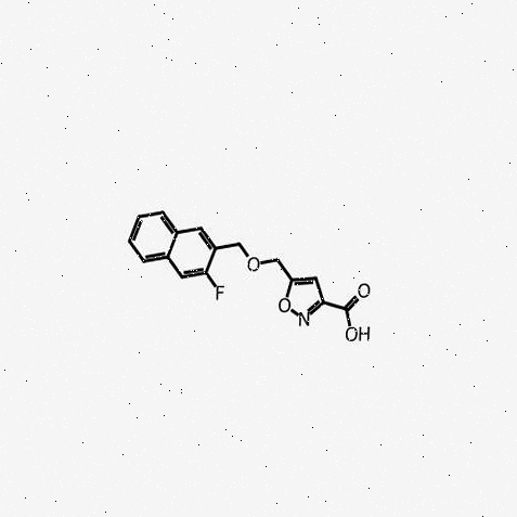 O=C(O)c1cc(COCc2cc3ccccc3cc2F)on1